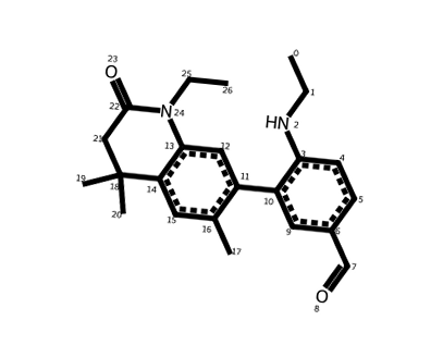 CCNc1ccc(C=O)cc1-c1cc2c(cc1C)C(C)(C)CC(=O)N2CC